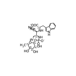 CC(C)C[C@H](NP(=O)([O-])O[C@@H]1O[C@@H](C)[C@H](O)[C@@H](O)[C@H]1O)C(=O)N[C@@H](Cc1c[nH]c2ccccc12)C(=O)[O-].[Na+].[Na+]